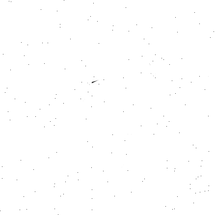 C=CCN1CC[C@]23c4c5c(O)cc(OC(C)=O)c4O[C@H]2[C@@H](N(CCCc2ccccc2)C(=O)CCCCC2CCCCC2)CC[C@H]3[C@H]1C5